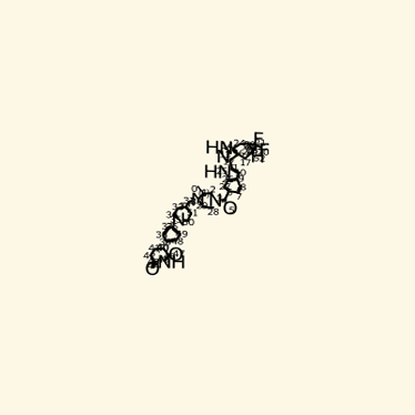 C[C@H]1CN(C(=O)c2ccc3cc(-c4n[nH]c5c4C[C@@H]4C(F)(F)[C@]4(C)C5)[nH]c3c2)CCN1CC1CCN(c2ccc([C@H]3CCC(=O)NC3=O)cc2)CC1